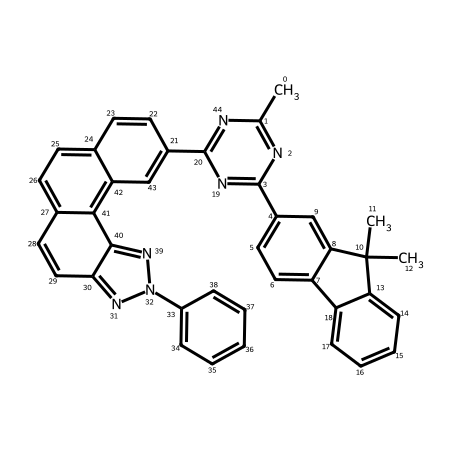 Cc1nc(-c2ccc3c(c2)C(C)(C)c2ccccc2-3)nc(-c2ccc3ccc4ccc5nn(-c6ccccc6)nc5c4c3c2)n1